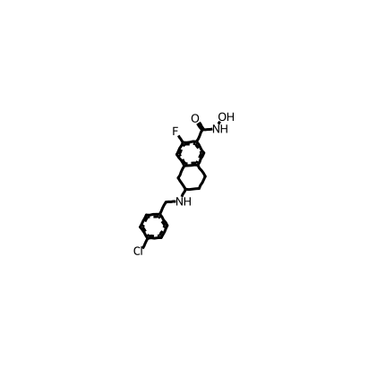 O=C(NO)c1cc2c(cc1F)CC(NCc1ccc(Cl)cc1)CC2